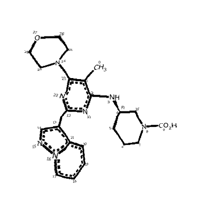 Cc1c(N[C@@H]2CCCN(C(=O)O)C2)nc(-c2cnn3ccccc23)nc1N1CCOCC1